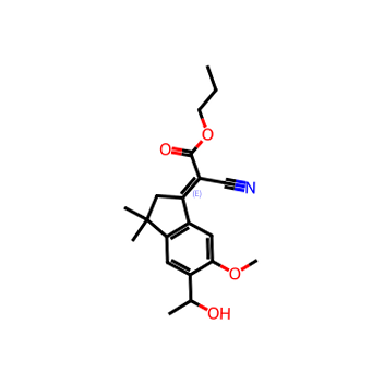 CCCOC(=O)/C(C#N)=C1\CC(C)(C)c2cc(C(C)O)c(OC)cc21